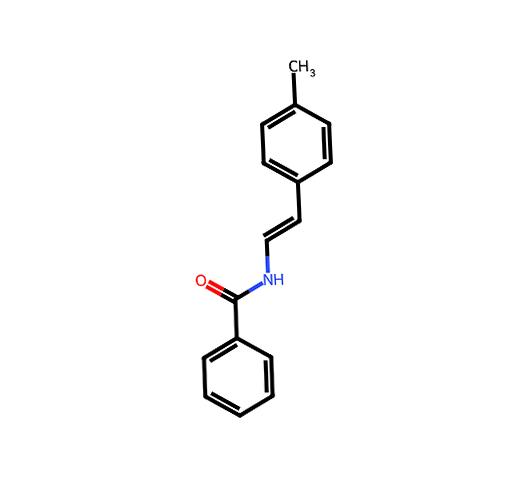 Cc1ccc(C=CNC(=O)c2ccccc2)cc1